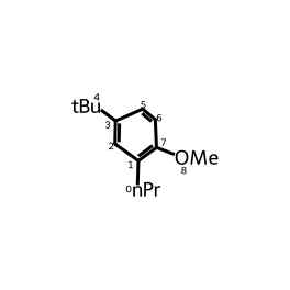 CCCc1cc(C(C)(C)C)ccc1OC